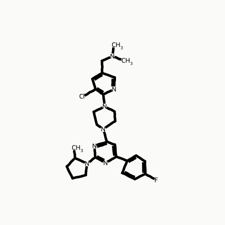 CC1CCCN1c1nc(-c2ccc(F)cc2)cc(N2CCN(c3ncc(CN(C)C)cc3Cl)CC2)n1